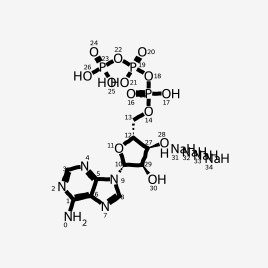 Nc1ncnc2c1ncn2[C@@H]1O[C@H](COP(=O)(O)OP(=O)(O)OP(=O)(O)O)[C@@H](O)[C@H]1O.[NaH].[NaH].[NaH].[NaH]